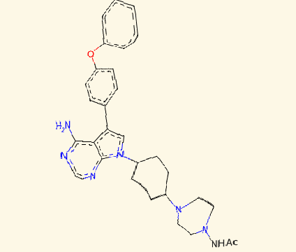 CC(=O)NN1CCN(C2CCC(n3cc(-c4ccc(Oc5ccccc5)cc4)c4c(N)ncnc43)CC2)CC1